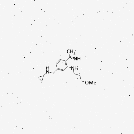 COCCCNc1cc(CNC2CC2)ccc1C(C)=N